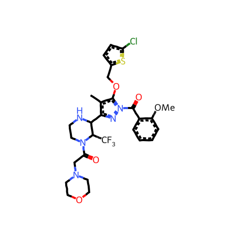 COc1ccccc1C(=O)n1nc(C2NCCN(C(=O)CN3CCOCC3)C2C(F)(F)F)c(C)c1OCc1ccc(Cl)s1